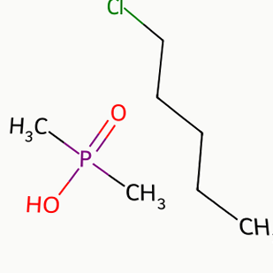 CCCCCCl.CP(C)(=O)O